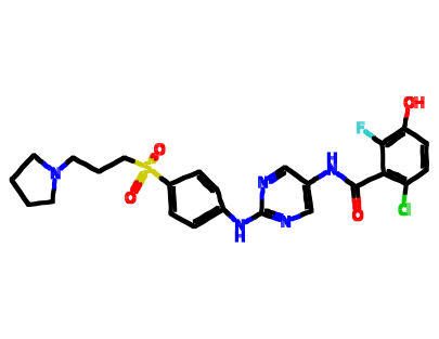 O=C(Nc1cnc(Nc2ccc(S(=O)(=O)CCCN3CCCC3)cc2)nc1)c1c(Cl)ccc(O)c1F